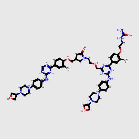 N#Cc1cc(-c2nc(COCCN3CC(COc4ccc(-c5ncnc(Nc6ccc(N7CCN(C8COC8)CC7)cc6)n5)cc4C#N)CC3=O)nc(Nc3ccc(N4CCN(C5COC5)CC4)cc3)n2)ccc1OCCNC(N)=O